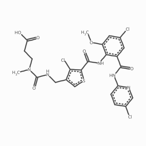 COc1cc(Cl)cc(C(=O)Nc2ccc(Cl)cn2)c1NC(=O)c1scc(CNC(=O)N(C)CCC(=O)O)c1Cl